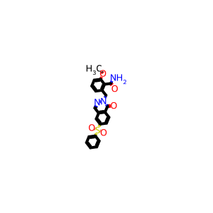 COc1cccc(Cn2ncc3cc(S(=O)(=O)c4ccccc4)ccc3c2=O)c1C(N)=O